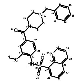 COc1cc(C(=O)N2CCN(Cc3ccccc3)CC2)ccc1NS(=O)(=O)c1cccc2cccnc12